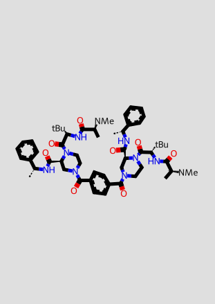 CN[C@@H](C)C(=O)N[C@H](C(=O)N1CCN(C(=O)c2ccc(C(=O)N3CCN(C(=O)[C@@H](NC(=O)[C@H](C)NC)C(C)(C)C)[C@H](C(=O)N[C@H](C)c4ccccc4)C3)cc2)C[C@H]1C(=O)N[C@H](C)c1ccccc1)C(C)(C)C